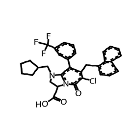 O=C(O)C1CN(CC2CCCC2)c2c(-c3cccc(C(F)(F)F)c3)c(Cc3cccc4ccccc34)c(Cl)c(=O)n21